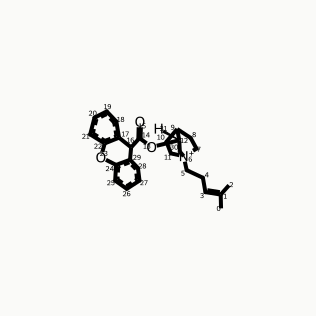 CC(C)=CCC[N+]12CCC(CC1)[C@@H](OC(=O)C1c3ccccc3Oc3ccccc31)C2